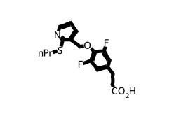 CCCSc1ncccc1COc1c(F)cc(CCC(=O)O)cc1F